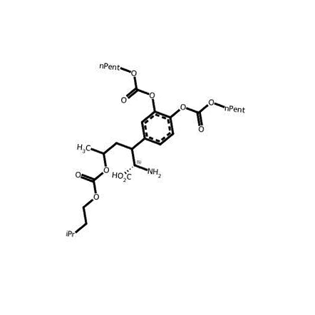 CCCCCOC(=O)Oc1ccc(C(CC(C)OC(=O)OCCC(C)C)[C@H](N)C(=O)O)cc1OC(=O)OCCCCC